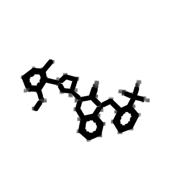 COc1nccc(C)c1N1CC[C@@H](N2Cc3ccccc3N(Cc3ccccc3C(F)(F)F)C2=O)C1